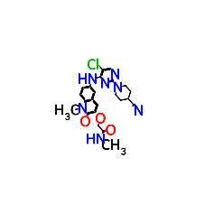 CNC(=O)COc1cc2cc(Nc3nc(N4CCC(C#N)CC4)ncc3Cl)ccc2n(C)c1=O